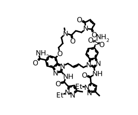 CCn1nc(C)cc1C(=O)Nc1nc2cc(S(N)(=O)=O)ccc2n1C/C=C/Cn1c(NC(=O)c2cc(C)nn2CC)nc2cc(C(N)=O)cc(OCCCN(C)C(=O)CCN3C(=O)C=CC3=O)c21